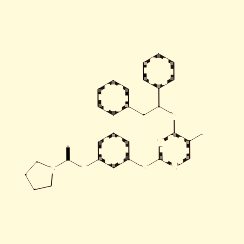 Bc1cnc(Nc2cccc(NC(=O)N3CCCC3)c2)nc1NC(Cc1ccccc1)c1ccccc1